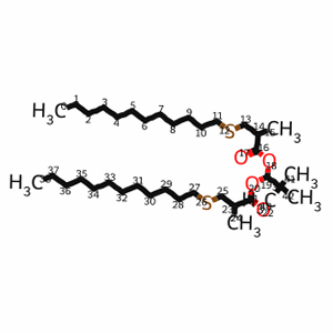 CCCCCCCCCCCCSCC(C)C(=O)OC(OC(=O)C(C)CSCCCCCCCCCCCC)C(C)(C)C